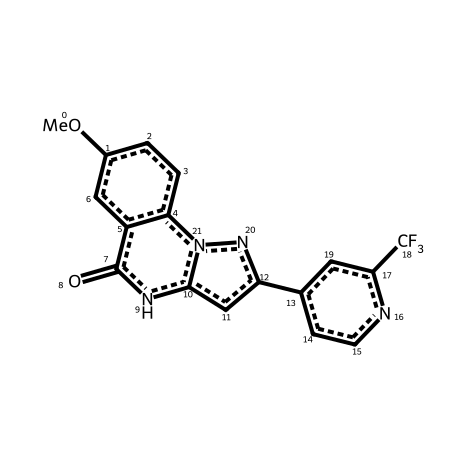 COc1ccc2c(c1)c(=O)[nH]c1cc(-c3ccnc(C(F)(F)F)c3)nn12